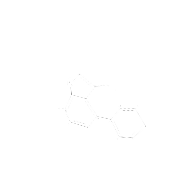 Bc1c[nH]c2nccc(-c3ccccc3)c12